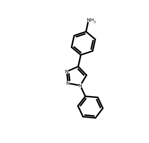 Nc1ccc(-c2cn(-c3ccccc3)nn2)cc1